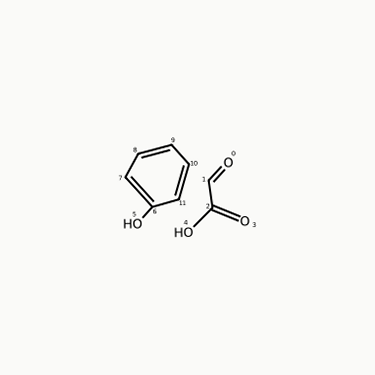 O=CC(=O)O.Oc1ccccc1